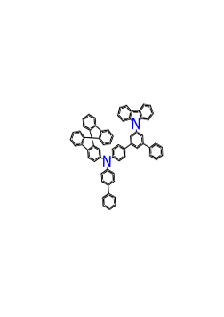 c1ccc(-c2ccc(N(c3ccc(-c4cc(-c5ccccc5)cc(-n5c6ccccc6c6ccccc65)c4)cc3)c3ccc4c(c3)C3(c5ccccc5-c5ccccc53)c3ccccc3-4)cc2)cc1